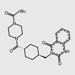 CCCCC(=O)N1CCN(C(=O)[C@H]2CC[C@H](Cn3c(=O)[nH]c4ccccc4c3=O)CC2)CC1